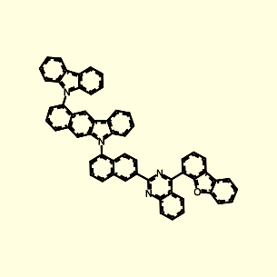 c1cc(-n2c3ccccc3c3cc4c(-n5c6ccccc6c6ccccc65)cccc4cc32)c2ccc(-c3nc(-c4cccc5c4oc4ccccc45)c4ccccc4n3)cc2c1